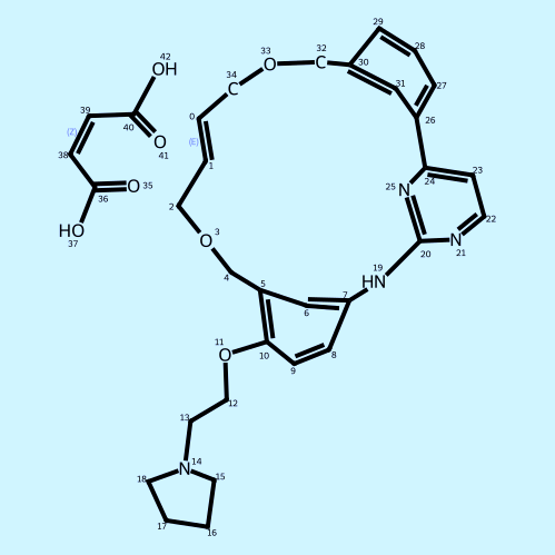 C1=C/COCc2cc(ccc2OCCN2CCCC2)Nc2nccc(n2)-c2cccc(c2)COC/1.O=C(O)/C=C\C(=O)O